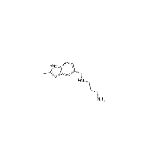 Cc1cc2cc(CNCCCN)ccc2[nH]1